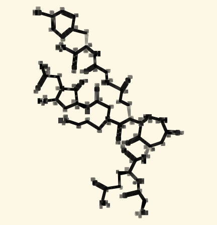 CC[C@H](C)CC(=O)N[C@@H](CCC(N)=O)C(=O)N[C@H]1CC(=O)NNN([C@@H](CCC(=O)NCC(=O)N[C@@H](Cc2ccc(O)cc2)C(N)=O)C(=O)N(CCCN)CC(=O)N[C@H]2CC(C)N(CC(N)=O)C2=O)C1=O